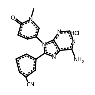 Cl.Cn1cc(-n2c(-c3cccc(C#N)c3)nc3c(N)ncnc32)ccc1=O